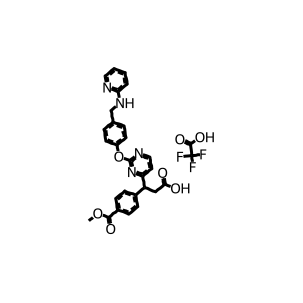 COC(=O)c1ccc(C(CC(=O)O)c2ccnc(Oc3ccc(CNc4ccccn4)cc3)n2)cc1.O=C(O)C(F)(F)F